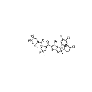 CC(C)C1=C(C(=O)N2CC(F)(F)C[C@@H]2C(=O)N2CC3(CC3)NC[C@H]2C)SC2=N[C@@](C)(c3ccc(Cl)nc3)[C@@H](c3ccc(Cl)c(F)c3)N21